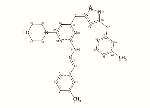 Cc1cccc(/C=N/Nc2nc(Cc3nnc(Cc4cccc(C)c4)s3)cc(N3CCOCC3)n2)c1